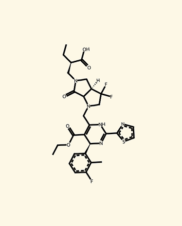 CCOC(=O)C1=C(CN2CC(F)(F)[C@@H]3CN(C[C@@H](CC)C(=O)O)C(=O)C32)NC(c2nccs2)=N[C@H]1c1cccc(F)c1C